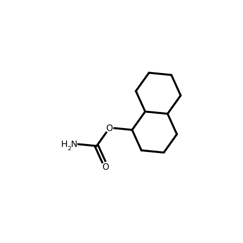 NC(=O)OC1CCCC2CCCCC21